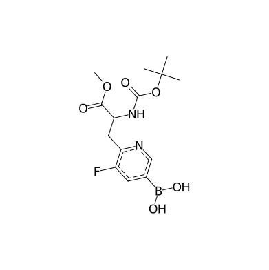 COC(=O)C(Cc1ncc(B(O)O)cc1F)NC(=O)OC(C)(C)C